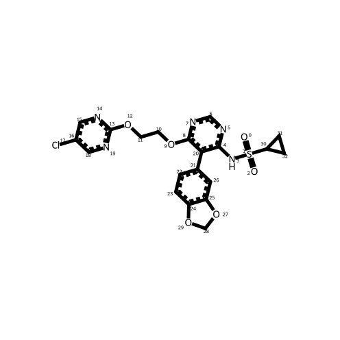 O=S(=O)(Nc1ncnc(OCCOc2ncc(Cl)cn2)c1-c1ccc2c(c1)OCO2)C1CC1